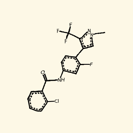 Cn1cc(-c2ccc(NC(=O)c3ccccc3Cl)cc2F)c(C(F)(F)F)n1